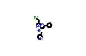 FC(F)(F)Cc1cnn2c(NCc3cccnc3)cc(-c3ccccc3)nc12